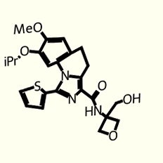 COc1cc2c(cc1OC(C)C)-n1c(-c3cccs3)nc(C(=O)NC3(CO)COC3)c1CC2